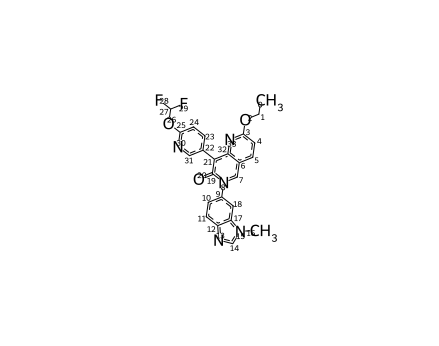 CCOc1ccc2cn(-c3ccc4ncn(C)c4c3)c(=O)c(-c3ccc(OC(F)F)nc3)c2n1